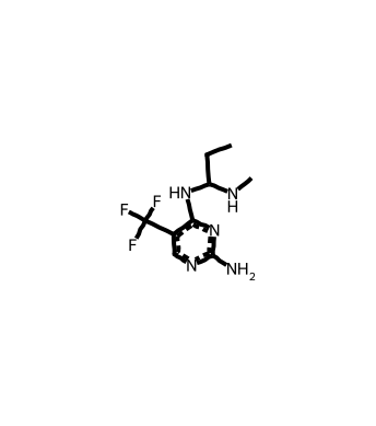 CCC(NC)Nc1nc(N)ncc1C(F)(F)F